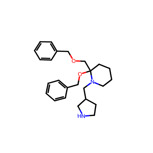 c1ccc(COCC2(OCc3ccccc3)CCCCN2CC2CCNC2)cc1